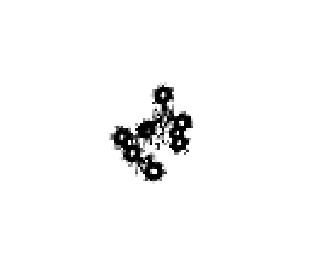 CC1(C)c2ccccc2-c2cccc(-c3nc(-c4ccccc4)nc(-c4ccc(-n5c6ccccc6c6ccc(-c7nc8ccccc8s7)cc65)cc4)n3)c21